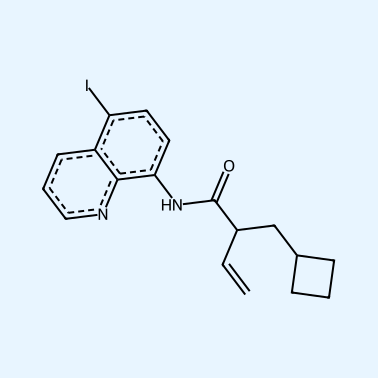 C=CC(CC1CCC1)C(=O)Nc1ccc(I)c2cccnc12